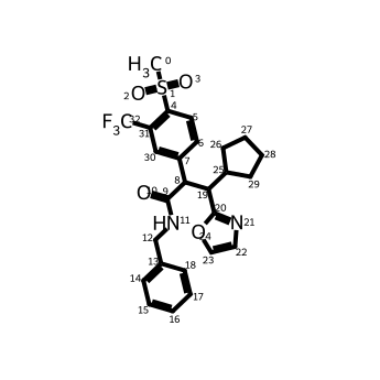 CS(=O)(=O)c1ccc(C(C(=O)NCc2ccccc2)C(c2ncco2)C2CCCC2)cc1C(F)(F)F